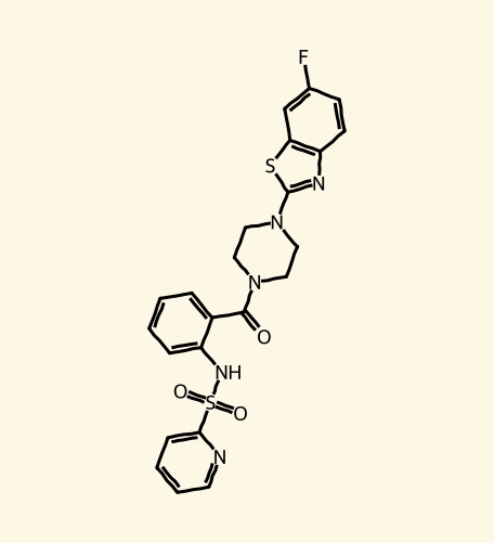 O=C(c1ccccc1NS(=O)(=O)c1ccccn1)N1CCN(c2nc3ccc(F)cc3s2)CC1